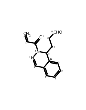 C=CC(=O)N1N=Cc2ccccc2C1CCC=O